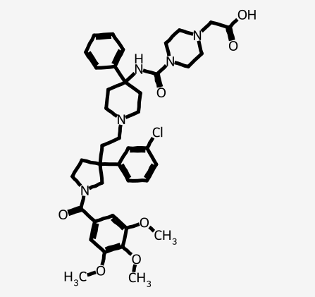 COc1cc(C(=O)N2CCC(CCN3CCC(NC(=O)N4CCN(CC(=O)O)CC4)(c4ccccc4)CC3)(c3cccc(Cl)c3)C2)cc(OC)c1OC